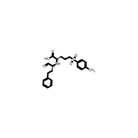 Cc1ccc(S(=O)(=O)CCC[C@@H](N[C@H]([C]=O)CCc2ccccc2)C(=O)O)cc1